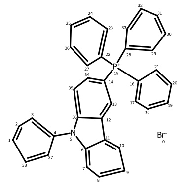 [Br-].c1ccc(-n2c3ccccc3c3cc([P+](c4ccccc4)(c4ccccc4)c4ccccc4)ccc32)cc1